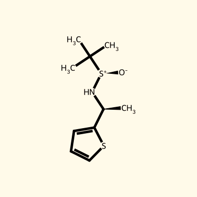 C[C@H](N[S@+]([O-])C(C)(C)C)c1cccs1